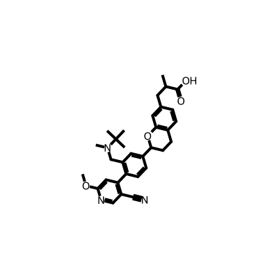 COc1cc(-c2ccc(C3CCc4ccc(CC(C)C(=O)O)cc4O3)cc2CN(C)C(C)(C)C)c(C#N)cn1